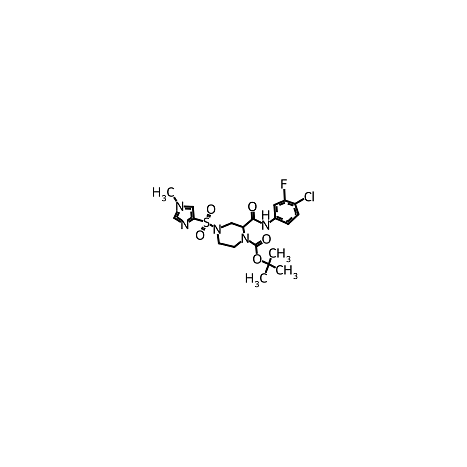 Cn1cnc(S(=O)(=O)N2CCN(C(=O)OC(C)(C)C)C(C(=O)Nc3ccc(Cl)c(F)c3)C2)c1